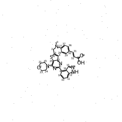 CN(Cc1cc2nc(-c3cccc4[nH]ncc34)nc(N3CCOCC3)c2s1)c1ccc(C=CC(=O)O)cc1